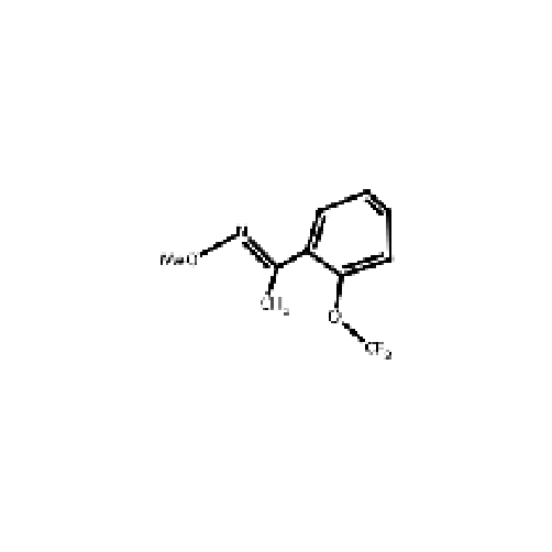 CO/N=C(\C)c1ccccc1OC(F)(F)F